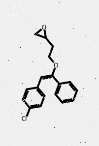 Clc1ccc(/C=C(/OCCC2CO2)c2ccccc2)cc1